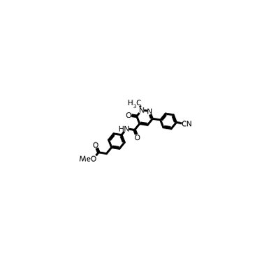 COC(=O)Cc1ccc(NC(=O)c2cc(-c3ccc(C#N)cc3)nn(C)c2=O)cc1